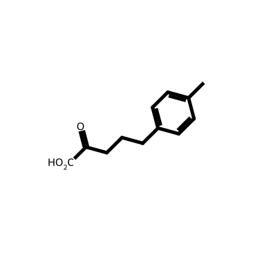 Cc1ccc(CCCC(=O)C(=O)O)cc1